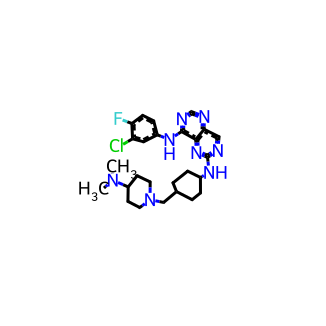 CN(C)C1CCN(CC2CCC(Nc3ncc4ncnc(Nc5ccc(F)c(Cl)c5)c4n3)CC2)CC1